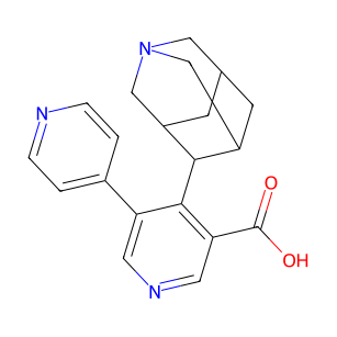 O=C(O)c1cncc(-c2ccncc2)c1C1C2CC3CC1CN(C3)C2